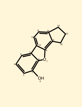 Oc1cccc2c1oc1c3c(ccc12)CCC3